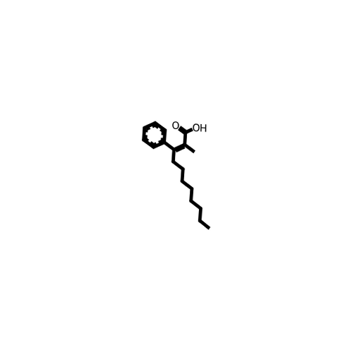 CCCCCCCCC(=C(C)C(=O)O)c1ccccc1